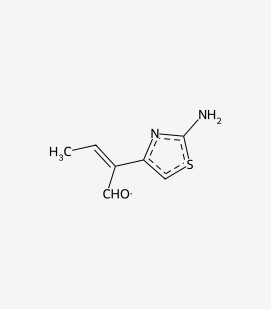 C/C=C(\[C]=O)c1csc(N)n1